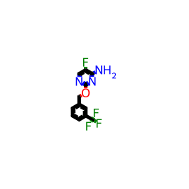 Nc1nc(OCc2cccc(C(F)(F)F)c2)ncc1F